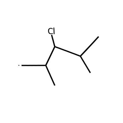 [CH2]C(C)C(Cl)C(C)C